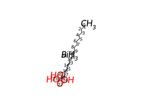 CCCCCCCCCCCCCCCCCCC(O)(O)C(=O)O.[BiH3]